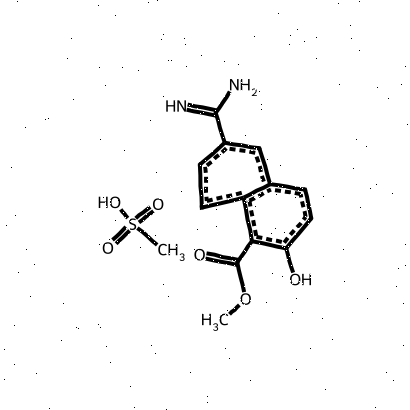 COC(=O)c1c(O)ccc2cc(C(=N)N)ccc12.CS(=O)(=O)O